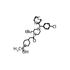 CB(O)N1CCC(CC(=O)N2CCN(C(c3ccc(Cl)cc3)c3ccccn3)C[C@@H]2C(C)(C)C)CC1